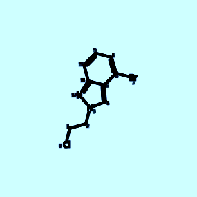 ClCCn1cc2c(Br)cccc2n1